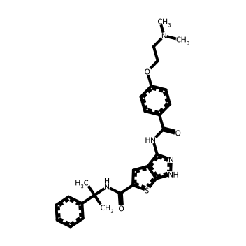 CN(C)CCOc1ccc(C(=O)Nc2n[nH]c3sc(C(=O)NC(C)(C)c4ccccc4)cc23)cc1